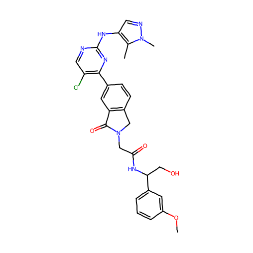 COc1cccc(C(CO)NC(=O)CN2Cc3ccc(-c4nc(Nc5cnn(C)c5C)ncc4Cl)cc3C2=O)c1